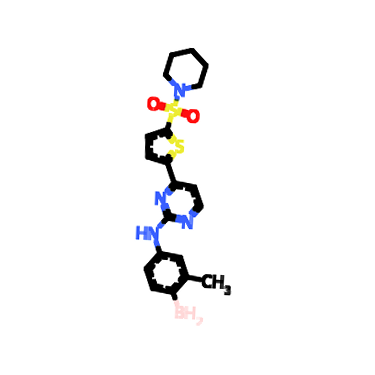 Bc1ccc(Nc2nccc(-c3ccc(S(=O)(=O)N4CCCCC4)s3)n2)cc1C